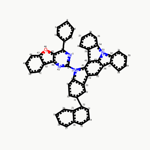 c1ccc(-c2nc(-n3c4ccc(-c5cccc6ccccc56)cc4c4cc5c6ccccc6n6c7ccccc7c(c43)c56)nc3c2oc2ccccc23)cc1